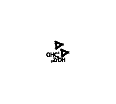 C1CC1.C1CC1.O=CO.[Zr]